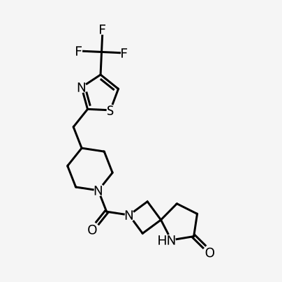 O=C1CCC2(CN(C(=O)N3CCC(Cc4nc(C(F)(F)F)cs4)CC3)C2)N1